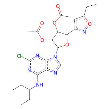 CCc1cc(C2OC(n3cnc4c(NC(CC)CC)nc(Cl)nc43)C(OC(C)=O)C2OC(C)=O)no1